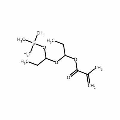 C=C(C)C(=O)OC(CC)OC(CC)O[Si](C)(C)C